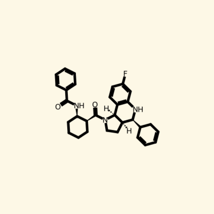 O=C(N[C@@H]1CCCC[C@@H]1C(=O)N1CC[C@@H]2[C@H](C3C=CC=CC3)Nc3cc(F)ccc3[C@@H]21)c1ccccc1